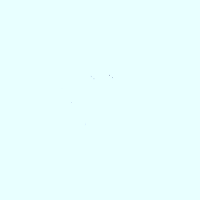 Cc1nnc(C2(C)CC2)o1